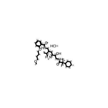 COCCCCOc1ccccc1C(=O)NCC(CC(N)C(O)CNC(=O)C(F)(F)C1CCCCC1)C(C)C.Cl